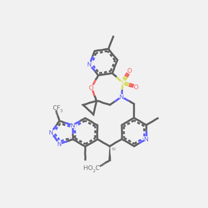 Cc1cnc2c(c1)S(=O)(=O)N(Cc1cc([C@@H](CC(=O)O)c3ccn4c(C(F)(F)F)nnc4c3C)cnc1C)CC1(CC1)O2